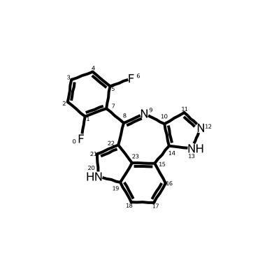 Fc1cccc(F)c1C1=Nc2cn[nH]c2-c2cccc3[nH]cc1c23